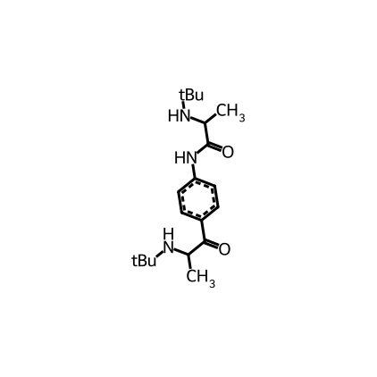 CC(NC(C)(C)C)C(=O)Nc1ccc(C(=O)C(C)NC(C)(C)C)cc1